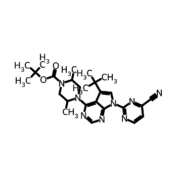 CC1CN(c2ncnc3c2c(C(C)(C)C)cn3-c2nccc(C#N)n2)C(C)CN1C(=O)OC(C)(C)C